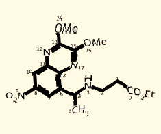 CCOC(=O)CCNC(C)c1cc([N+](=O)[O-])cc2nc(OC)c(OC)nc12